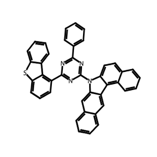 c1ccc(-c2nc(-c3cccc4sc5ccccc5c34)nc(-n3c4cc5ccccc5cc4c4c5ccccc5ccc43)n2)cc1